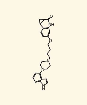 O=C1Nc2cc(OCCCCN3CCN(c4cccc5[nH]ccc45)CC3)ccc2C2CC12